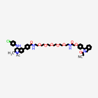 CC(=O)N1c2ccc(-c3ccc(C(=O)NCCOCCOCCOCCOCCOCCNC(=O)COc4ccc(C5c6ccccc6CN5C(=O)CC#N)cc4)cc3)cc2[C@H](Nc2ccc(Cl)cc2)C[C@@H]1C